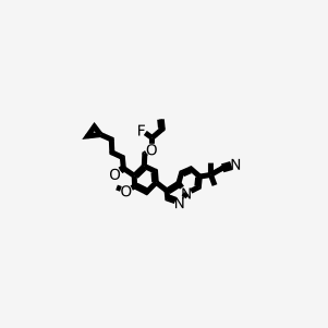 C=CC(F)OCc1cc(-c2cnn3cc(C(C)(C)C#N)ccc23)cc(OC)c1C(=O)CCCC1CC1